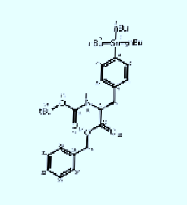 CCC[CH2][Sn]([CH2]CCC)([CH2]CCC)[c]1ccc(C[C@H](NC(=O)OC(C)(C)C)C(=O)OCc2ccccc2)cc1